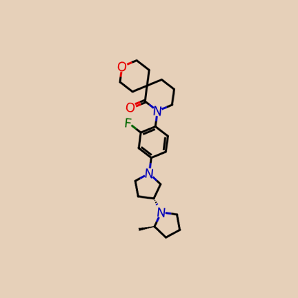 C[C@@H]1CCCN1[C@@H]1CCN(c2ccc(N3CCCC4(CCOCC4)C3=O)c(F)c2)C1